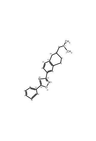 CN(C)CC1CCc2cc(-c3noc(-c4ccccc4)n3)ccc2C1